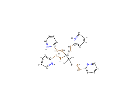 CC(C)(CSSc1ccccn1)C(SSc1ccccn1)(SSc1ccccn1)SSc1ccccn1